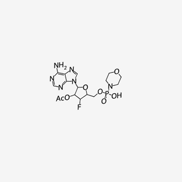 CC(=O)OC1C(F)C(COP(=O)(O)N2CCOCC2)OC1n1cnc2c(N)ncnc21